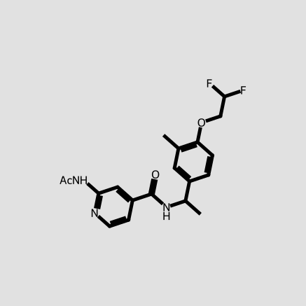 CC(=O)Nc1cc(C(=O)NC(C)c2ccc(OCC(F)F)c(C)c2)ccn1